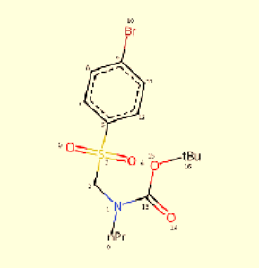 CCCN(CS(=O)(=O)c1ccc(Br)cc1)C(=O)OC(C)(C)C